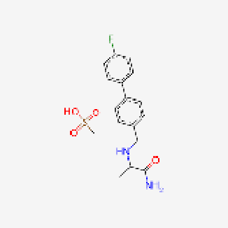 CC(NCc1ccc(-c2ccc(F)cc2)cc1)C(N)=O.CS(=O)(=O)O